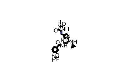 O=C1NC(=O)/C(=C/c2cnn3c(NC4CC4)cc(NC(=O)c4cccc(OC(F)(F)F)c4)nc23)N1